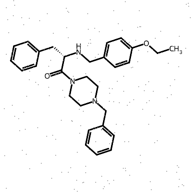 CCOc1ccc(CN[C@@H](Cc2ccccc2)C(=O)N2CCN(Cc3ccccc3)CC2)cc1